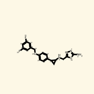 Nc1nnc(CNC2CC2c2ccc(OCc3cc(F)cc(F)c3)cc2)o1